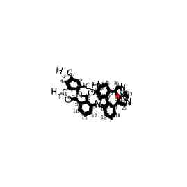 Cc1cc(C)c(N2C(=O)c3cccc(-n4c5cccc(-c6cncnc6)c5c5c(-c6cncnc6)cccc54)c3C2=O)c(C)c1